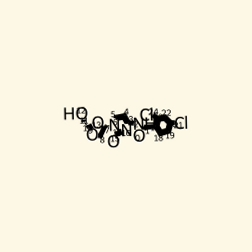 O=C(Nc1ccn([C@@H]2CO[C@H](CO)O2)c(=O)n1)c1ccc(Cl)cc1Cl